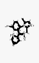 Cc1cnc2n1-c1ccc(F)cc1C(c1ccc[nH]1)=[N+]([O-])C2